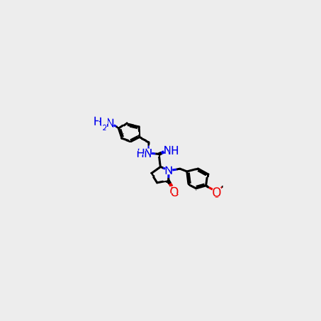 COc1ccc(CN2C(=O)CCC2C(=N)NCc2ccc(N)cc2)cc1